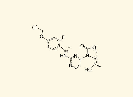 C[C@H](Nc1nccc(N2C(=O)OC[C@@H]2[C@@H](C)O)n1)c1ccc(O[CH2][Cf])cc1F